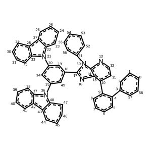 c1ccc(-c2ccccc2-c2ccnc3c2nc(-c2cc(-n4c5ccccc5c5ccccc54)cc(-n4c5ccccc5c5ccccc54)c2)n3-c2ccccc2)cc1